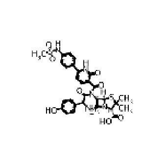 CC1(C)S[C@@H]2[C@H](N(C(=O)c3ccc(-c4ccc(NS(C)(=O)=O)cc4)[nH]c3=O)C(=O)C(N)c3ccc(O)cc3)C(=O)N2[C@H]1C(=O)O